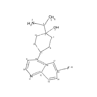 CC(N)C1(O)CCC(c2ccnc3ccc(F)cc23)CC1